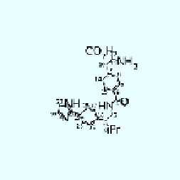 CC(C)C(CNC(=O)c1ccc(CC(N)C(=O)O)cc1)c1ccc(-c2ncc[nH]2)cc1